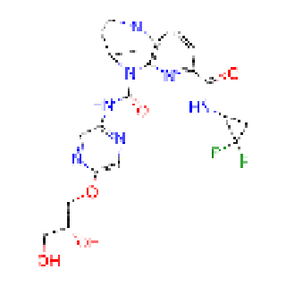 O=C(NC1CC1(F)F)c1ccc2c(n1)N(C(=O)Nc1cnc(OC[C@H](O)CO)cn1)C1CCN2C1